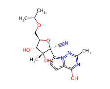 Cc1nc(O)c2ccc([C@]3(C#N)O[C@H](COC(C)C)[C@@H](O)[C@@]3(C)O)n2n1